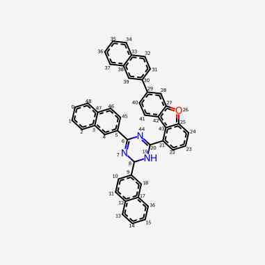 c1ccc2cc(C3=NC(c4ccc5ccccc5c4)NC(c4cccc5oc6cc(-c7ccc8ccccc8c7)ccc6c45)=N3)ccc2c1